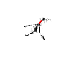 C#CCOCCOCCNC(=O)CCC(CCC(=O)NCCOCCOCC#C)(CCC(=O)NCCOCCOCC#C)NC(=O)C12CCC(OP(OCCC)N(C(C)C)C(C)C)(CC1)CC2